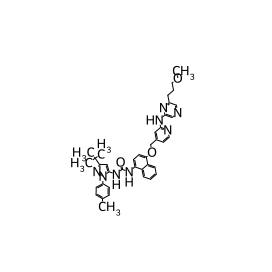 COCCCc1cncc(Nc2cc(COc3ccc(NC(=O)Nc4cc(C(C)(C)C)nn4-c4ccc(C)cc4)c4ccccc34)ccn2)n1